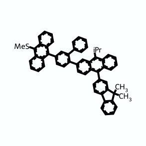 CSc1c2ccccc2c(-c2ccc(-c3ccc4c(-c5ccc6c(c5)C(C)(C)c5ccccc5-6)c5ccccc5c(C(C)C)c4c3)c(-c3ccccc3)c2)c2ccccc12